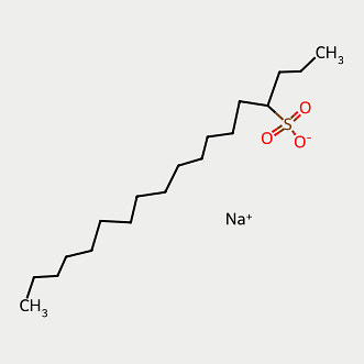 CCCCCCCCCCCCCCC(CCC)S(=O)(=O)[O-].[Na+]